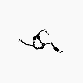 C#CCc1ccc(CC(C)C)cc1C